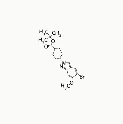 COc1cc2nn(C3CCC(C(=O)OC(C)(C)C)CC3)cc2cc1Br